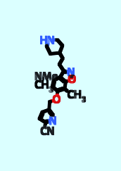 CNC.Cc1c(OCc2ccc(C#N)nc2)ccc2c(CCC3CCNCC3)noc12